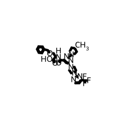 CC1CCN(c2nc(C(=O)NC(COCc3ccccc3)C(=O)O)cc(N3CCN(c4nccc(C(F)(F)F)n4)CC3)n2)CC1